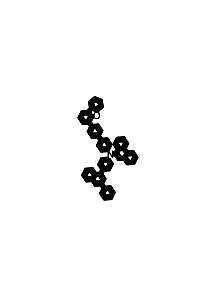 c1ccc(-c2cc(-c3ccc(N(c4ccc(-c5ccc(-c6cccc7c6oc6ccccc67)cc5)cc4)c4cc5ccccc5c5ccccc45)cc3)c3ccccc3c2)cc1